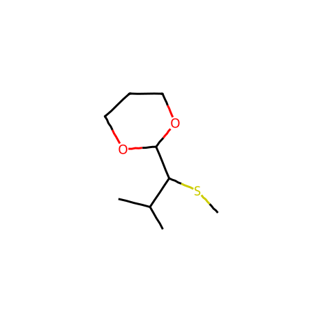 CSC(C(C)C)C1OCCCO1